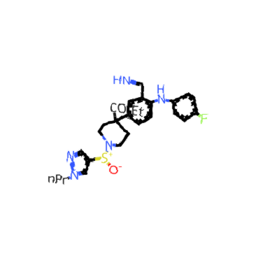 CCCn1cc([S+]([O-])N2CCC(C(=O)OCC)(c3ccc(Nc4ccc(F)cc4)c(C=N)c3)CC2)cn1